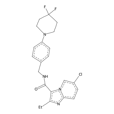 CCc1nc2ccc(Cl)cn2c1C(=O)NCc1ccc(N2CCC(F)(F)CC2)cc1